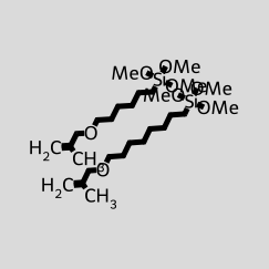 C=C(C)COCCCCCCCC[Si](OC)(OC)OC.C=C(C)COCCCCCC[Si](OC)(OC)OC